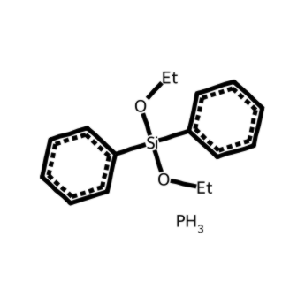 CCO[Si](OCC)(c1ccccc1)c1ccccc1.P